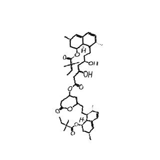 CCC(C)(C)C(=O)O[C@H]1C[C@@H](C)C=C2C=C[C@H](C)C(CCC(O)CC(O)CC(=O)OC3CC(=O)OC(CCC4[C@H](C)C=CC5=C[C@@H](C)C[C@@H](OC(=O)C(C)(C)CC)[C@H]54)C3)[C@H]21